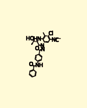 [C-]#[N+]c1ccc(N[C@@H](c2nnc(-c3ccc(NC(=O)c4ccccc4)cc3)o2)[C@@H](C)O)c(C)c1Cl